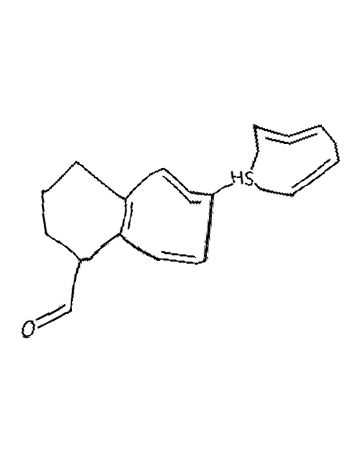 O=CC1CCCc2cc([SH]3C=CC=C3)ccc21